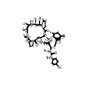 CCc1ccc(NC(=O)N[C@@H](Cc2cc(F)cc(F)c2)C(=O)N[C@@H]2C(=O)N3CCC[C@H]3C(=O)N(C)[C@@H](C)C(=O)N[C@@H](C)C(=O)N3CCCC3C(=O)O[C@H]2C)cc1